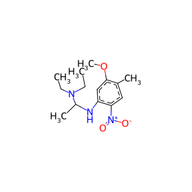 CCN(CC)C(C)Nc1cc(OC)c(C)cc1[N+](=O)[O-]